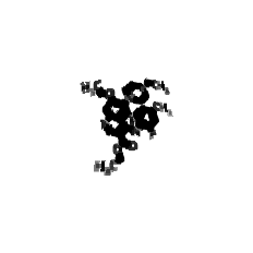 CCOC(=O)c1cnc2cc(OCC)c(N3CCN(CC)CC3)cc2c1Nc1ccc(C)cc1F